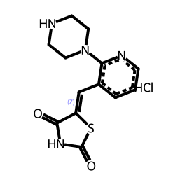 Cl.O=C1NC(=O)/C(=C/c2cccnc2N2CCNCC2)S1